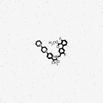 COC(=O)c1c(F)cccc1-c1ccc(CNC(=O)C(C)c2ccc(N3CCC(N4CCCCC4)CC3)cc2)c(F)c1